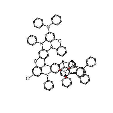 Clc1cc2c3c(c1)N(c1ccccc1)c1cc4c(cc1B3c1cc3c(cc1O2)N(c1ccccc1)c1cc(N(c2ccccc2)c2ccccc2)cc2c1B3c1ccccc1O2)B1c2c(cc(N(c3ccccc3)c3ccccc3)cc2-n2c3ccccc3c3cccc1c32)N4c1ccccc1